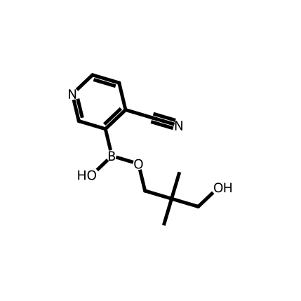 CC(C)(CO)COB(O)c1cnccc1C#N